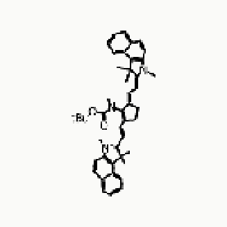 CN(C(=O)OC(C)(C)C)C1=C(/C=C/C2=[N+](C)c3ccc4ccccc4c3C2(C)C)CC/C1=C\C=C1\N(C)c2ccc3ccccc3c2C1(C)C